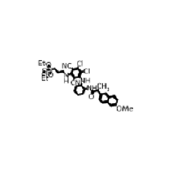 CCO[Si](CCCNc1c(C#N)c(Cl)c(Cl)c(NC2CCCCC2NC(=O)C(C)c2ccc3cc(OC)ccc3c2)c1C#N)(OCC)OCC